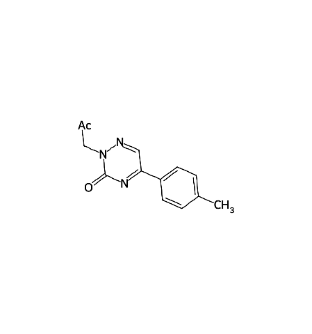 CC(=O)Cn1ncc(-c2ccc(C)cc2)nc1=O